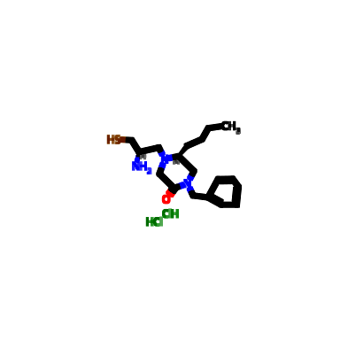 CCCC[C@H]1CN(Cc2ccccc2)C(=O)CN1C[C@@H](N)CS.Cl.Cl